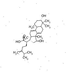 C=C(CC[C@@H](C(=O)O)[C@H]1C[C@H](O)[C@@]2(C)C3=CCC4C(C)(C)[C@@H](O)CC[C@]4(C)C3=CC[C@]12C)C(C)C